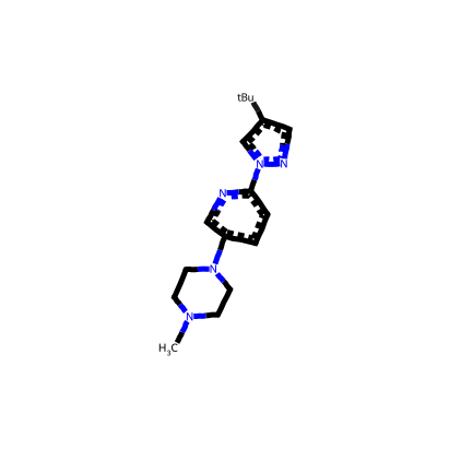 CN1CCN(c2ccc(-n3cc(C(C)(C)C)cn3)nc2)CC1